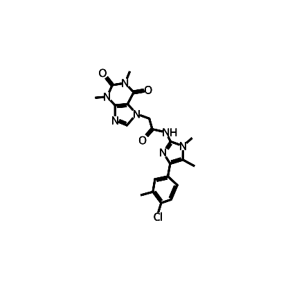 Cc1cc(-c2nc(NC(=O)Cn3cnc4c3c(=O)n(C)c(=O)n4C)n(C)c2C)ccc1Cl